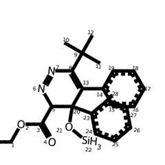 CCOC(=O)C1N=NC(C(C)(C)C)=C(c2ccccc2)C1(O[SiH3])c1ccccc1